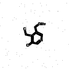 COCc1cncc(Cl)c1CCl